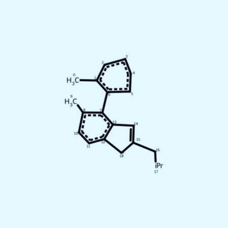 Cc1ccccc1-c1c(C)ccc2c1C=C(CC(C)C)[CH]2